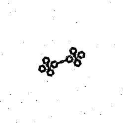 C(#Cc1ccc([Si](c2ccccc2)(c2ccccc2)c2ccccc2)cc1)c1ccc([Si](c2ccccc2)(c2ccccc2)c2ccccc2)cc1